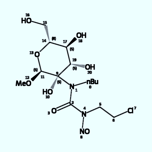 CCCCN(C(=O)N(CCCl)N=O)[C@@]1(O)[C@@H](OC)O[C@H](CO)[C@@H](O)[C@@H]1O